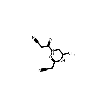 [CH2]C(CNC(=O)CC#N)NC(=O)CC#N